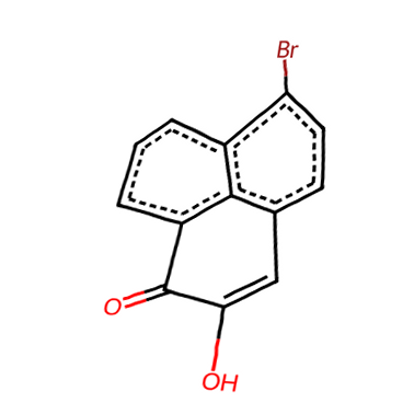 O=C1C(O)=Cc2ccc(Br)c3cccc1c23